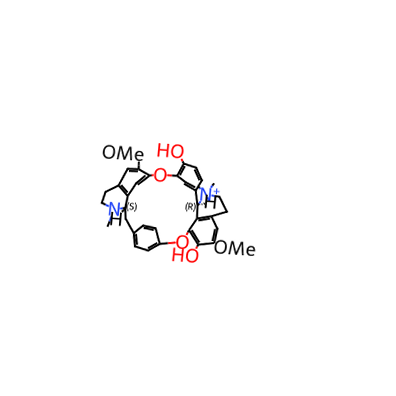 COc1cc2c3cc1Oc1cc(ccc1O)[C@@H]1c4c(cc(OC)c(O)c4Oc4ccc(cc4)C[C@@H]3N(C)CC2)CC[N+]1(C)C